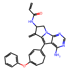 C=CC(=O)NC1Cn2c(c(C3=CCC=C(Oc4ccccc4)C=C3)c3c(N)ncnc32)C1=C